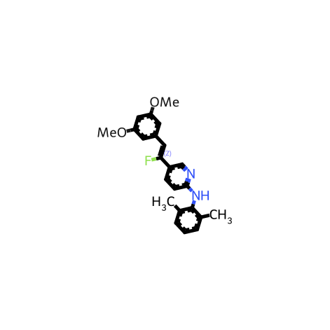 COc1cc(/C=C(\F)c2ccc(Nc3c(C)cccc3C)nc2)cc(OC)c1